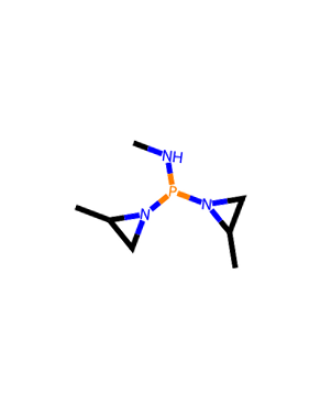 CNP(N1CC1C)N1CC1C